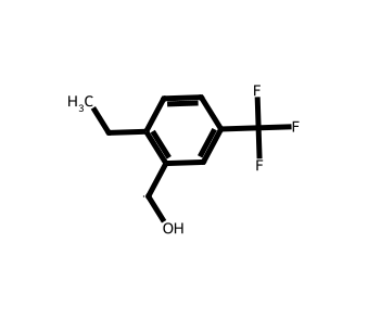 CCc1ccc(C(F)(F)F)cc1[CH]O